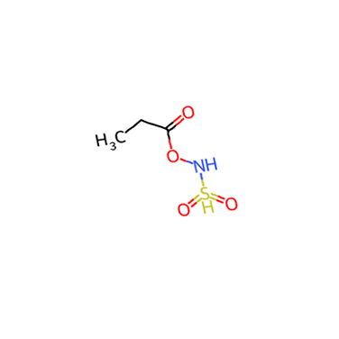 CCC(=O)ON[SH](=O)=O